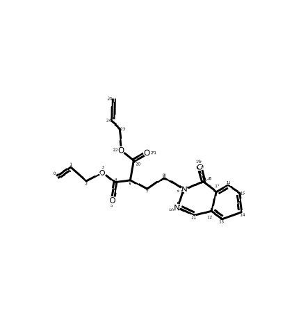 C=CCOC(=O)C(CCn1ncc2ccccc2c1=O)C(=O)OCC=C